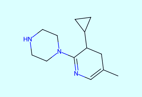 CC1=CN=C(N2CCNCC2)C(C2CC2)C1